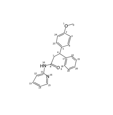 COc1ccc(C(CC(=O)Nc2ccccn2)c2ccccc2)cc1